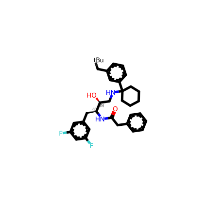 CC(C)(C)Cc1cccc(C2(NC[C@H](O)[C@H](Cc3cc(F)cc(F)c3)NC(=O)Cc3ccccc3)CCCCC2)c1